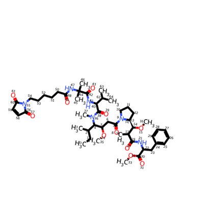 CCC(C)C(C(CC(=O)N1CCC[C@H]1C(OC)C(C)C(=O)NC(Cc1ccccc1)C(=O)OC)OC)N(C)C(=O)C(NC(=O)C(C)(C)NC(=O)CCCCCN1C(=O)C=CC1=O)C(C)C